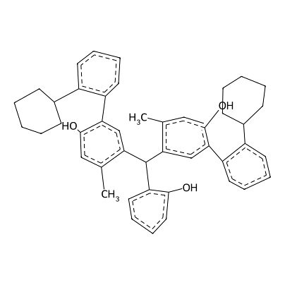 Cc1cc(O)c(-c2ccccc2C2CCCCC2)cc1C(c1cc(-c2ccccc2C2CCCCC2)c(O)cc1C)c1ccccc1O